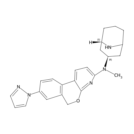 CN(c1ccc2c(n1)OCc1cc(-n3cccn3)ccc1-2)[C@@H]1CC2CCC[C@@H](C1)N2